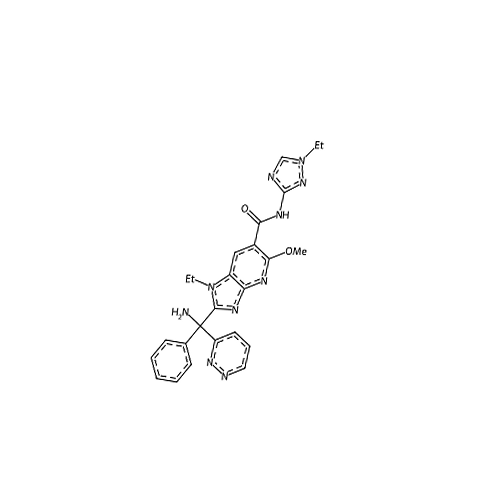 CCn1cnc(NC(=O)c2cc3c(nc2OC)nc(C(N)(c2ccccc2)c2cccnn2)n3CC)n1